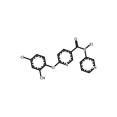 CCN(C(=O)c1ccc(Oc2ccc(Cl)cc2C#N)nc1)c1cccnc1